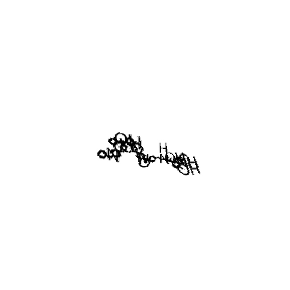 O=C(c1ccc(CCNC[C@H](O)c2ccc(O)c3[nH]c(=O)ccc23)cc1)N1CCC(COc2cccc(C(O)(C(=O)OCC3CCN(Cc4ccccc4)CC3)c3ccccc3)c2)CC1